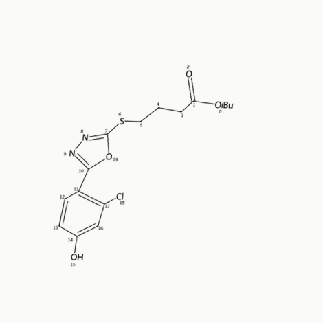 CC(C)COC(=O)CCCSc1nnc(-c2ccc(O)cc2Cl)o1